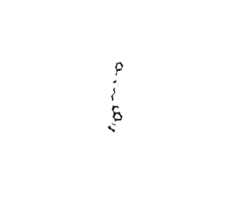 CC1(C)OB(c2ccc3ncc(OCCCCNC(=O)OCc4ccccc4)cc3c2)OC1(C)C